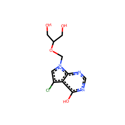 OCC(CO)OCn1cc(Cl)c2c(O)ncnc21